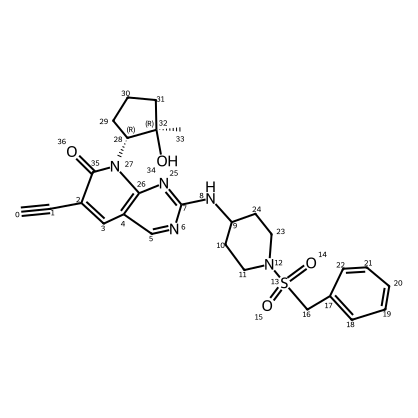 C#Cc1cc2cnc(NC3CCN(S(=O)(=O)Cc4ccccc4)CC3)nc2n([C@@H]2CCC[C@@]2(C)O)c1=O